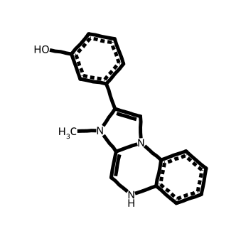 CN1C(c2cccc(O)c2)=CN2C1=CNc1ccccc12